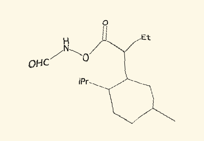 CCC(C(=O)ONC=O)C1CC(C)CCC1C(C)C